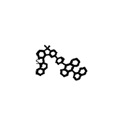 CC1(C)c2ccc(-c3ccc(-c4c5ccccc5c(-c5cccc6ccccc56)c5ccccc45)cc3)cc2-c2c1ccc1sc3c4ccccc4ccc3c21